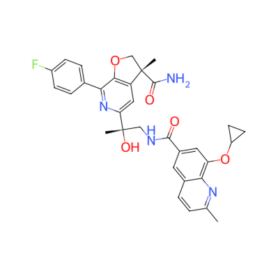 Cc1ccc2cc(C(=O)NC[C@](C)(O)c3cc4c(c(-c5ccc(F)cc5)n3)OC[C@]4(C)C(N)=O)cc(OC3CC3)c2n1